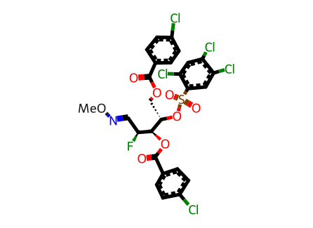 CON=C[C@H](F)[C@H](OC(=O)c1ccc(Cl)cc1)[C@H](COC(=O)c1ccc(Cl)cc1)OS(=O)(=O)c1cc(Cl)c(Cl)cc1Cl